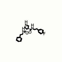 O=C(NCCc1ccccc1)[C@@H]1CNC[C@H]1C(=O)NCCc1ccc(F)cc1